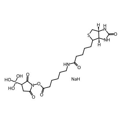 O=C(CCCCC1SC[C@@H]2NC(=O)N[C@H]12)NCCCCCC(=O)ON1C(=O)CC(S(O)(O)O)C1=O.[NaH]